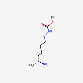 CC(C)(C)OC(=O)NNCCCC[C@H](N)C(=O)O